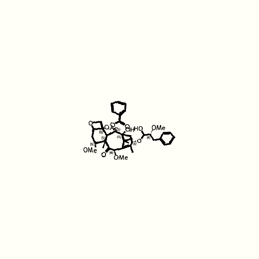 CO[C@H]1C(=O)[C@@]2(C)C([C@H](OC(=O)c3ccccc3)[C@]3(O)C[C@H](OC(O)[C@@H](Cc4ccccc4)OC)C(C)=C1C3(C)C)[C@]1(OC(C)=O)COC1C[C@@H]2OC